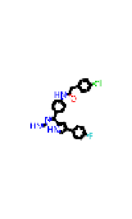 N=C/N=C(/c1ccc(NC(=O)Cc2ccc(Cl)cc2)cc1)c1cc(-c2ccc(F)cc2)c[nH]1